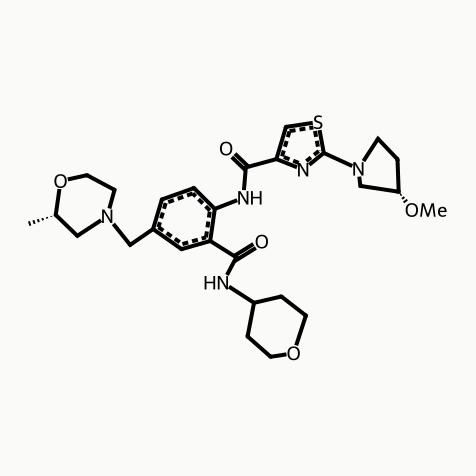 CO[C@H]1CCN(c2nc(C(=O)Nc3ccc(CN4CCO[C@@H](C)C4)cc3C(=O)NC3CCOCC3)cs2)C1